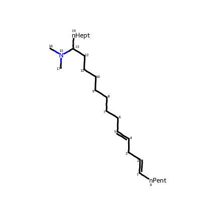 CCCCC/C=C/C/C=C/CCCCCCCC(CCCCCCC)N(C)C